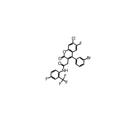 O=C(Cc1c(-c2cccc(Br)c2)c2cc(F)c(Cl)cc2oc1=O)Nc1ccc(F)cc1C(F)(F)F